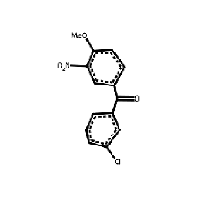 COc1ccc(C(=O)c2cccc(Cl)c2)cc1[N+](=O)[O-]